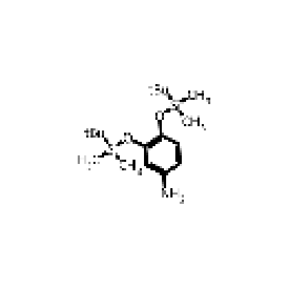 CC(C)(C)[Si](C)(C)Oc1ccc(N)cc1O[Si](C)(C)C(C)(C)C